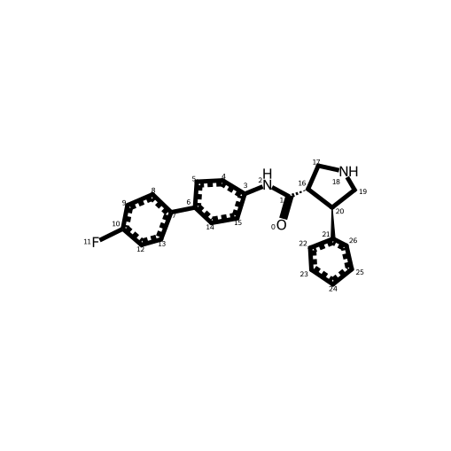 O=C(Nc1ccc(-c2ccc(F)cc2)cc1)[C@@H]1CNC[C@H]1c1ccccc1